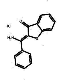 Cl.NC(=C1Sc2ccccc2C1=O)c1ccccc1